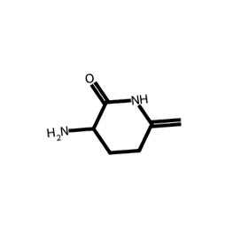 C=C1CCC(N)C(=O)N1